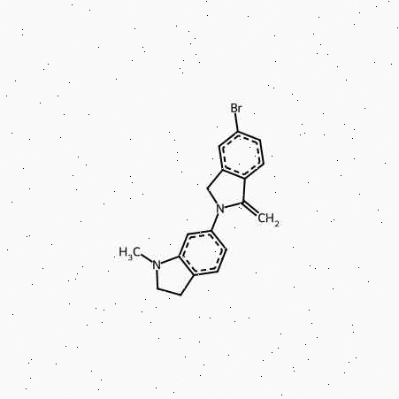 C=C1c2ccc(Br)cc2CN1c1ccc2c(c1)N(C)CC2